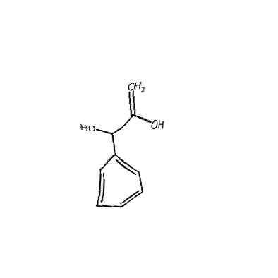 C=C(O)C(O)c1ccccc1